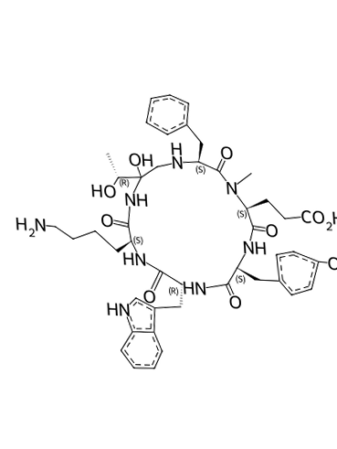 C[C@@H](O)C1(O)CN[C@@H](Cc2ccccc2)C(=O)N(C)[C@@H](CCC(=O)O)C(=O)N[C@@H](Cc2ccc(O)cc2)C(=O)N[C@H](Cc2c[nH]c3ccccc23)C(=O)N[C@@H](CCCCN)C(=O)N1